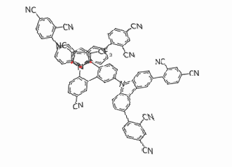 N#Cc1ccc(-c2ccc3c(c2)c2cc(-c4ccc(C#N)cc4C#N)ccc2n3-c2ccc(-c3ccc(C#N)cc3C(F)(F)F)c(-c3cc(C#N)ccc3-n3c4ccc(-c5ccc(C#N)cc5C#N)cc4c4cc(-c5ccc(C#N)cc5C#N)ccc43)c2)c(C#N)c1